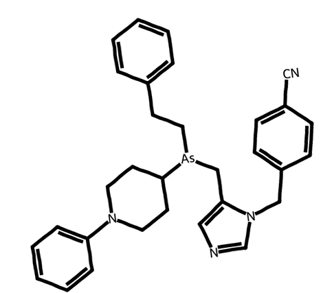 N#Cc1ccc(Cn2cncc2C[As](CCc2ccccc2)C2CCN(c3ccccc3)CC2)cc1